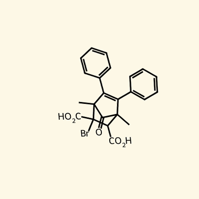 CC12C(=O)C(C)(C(c3ccccc3)=C1c1ccccc1)C(Br)(C(=O)O)C2C(=O)O